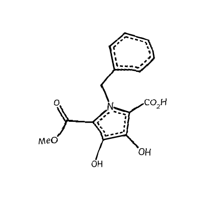 COC(=O)c1c(O)c(O)c(C(=O)O)n1Cc1ccccc1